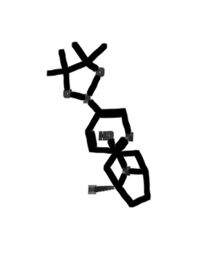 CC1(C)OB(c2ccc(N3C4CC[C@H]3C[C@@H](O)C4)nc2)OC1(C)C